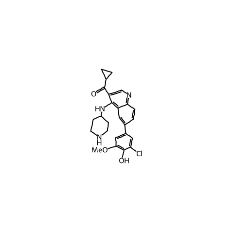 COc1cc(-c2ccc3ncc(C(=O)C4CC4)c(NC4CCNCC4)c3c2)cc(Cl)c1O